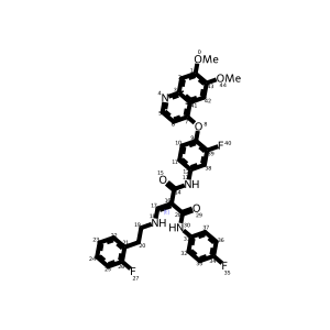 COc1cc2nccc(Oc3ccc(NC(=O)/C(=C/NCCc4ccccc4F)C(=O)Nc4ccc(F)cc4)cc3F)c2cc1OC